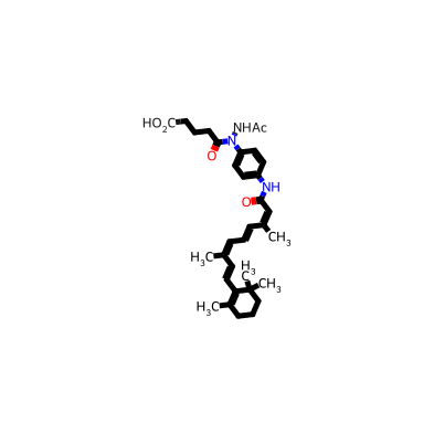 CC(=O)NN(C(=O)CCCC(=O)O)c1ccc(NC(=O)C=C(C)C=CC=C(C)C=CC2=C(C)CCCC2(C)C)cc1